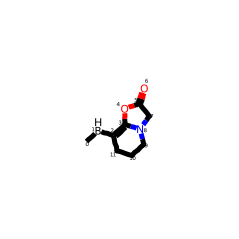 CBC1=C2OC(=O)CN2CCC1